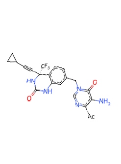 CC(=O)c1ncn(Cc2ccc3c(c2)NC(=O)N[C@]3(C#CC2CC2)C(F)(F)F)c(=O)c1N